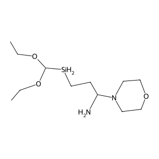 CCOC(OCC)[SiH2]CCC(N)N1CCOCC1